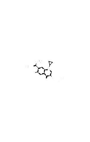 C=C(OC)c1cc2c(cc1F)c(=O)c(C(=O)OCC)cn2C1CC1